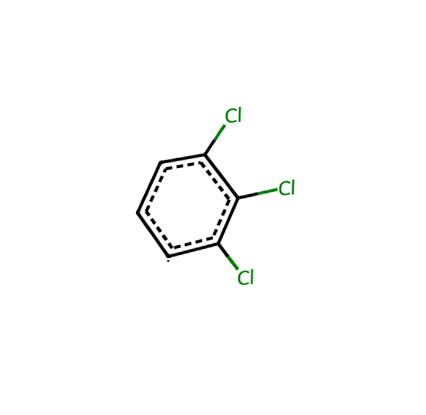 Clc1[c]ccc(Cl)c1Cl